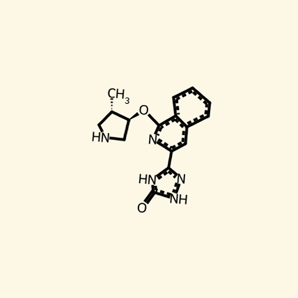 C[C@H]1CNC[C@@H]1Oc1nc(-c2n[nH]c(=O)[nH]2)cc2ccccc12